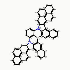 c1cc2c3c(c1)-n1c4cc5ccc6cccc7ccc(c5c67)c4c4c5ccccc5cc(c41)B3c1cc3ccccc3c3c4c5ccc6cccc7ccc(cc4n-2c13)c5c76